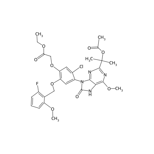 CCOC(=O)COc1cc(Cl)c(-n2c(=O)[nH]c3c(OC)nc(C(C)(C)OC(C)=O)nc32)cc1OCc1c(F)cccc1OC